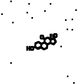 CC[C@]12CC(=O)C3C4CCC(O)C=C4CCC3C1CCC2=O